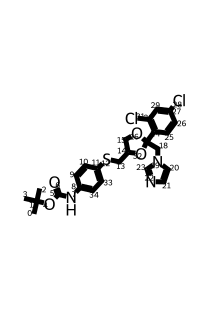 CC(C)(C)OC(=O)Nc1ccc(SCC2COC(Cn3ccnc3)(c3ccc(Cl)cc3Cl)O2)cc1